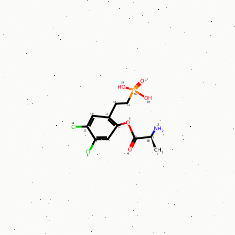 C[C@H](N)C(=O)Oc1cc(Cl)c(Cl)cc1CCP(=O)(O)O